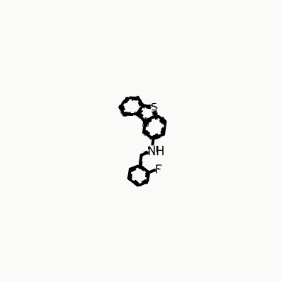 Fc1ccccc1CNc1ccc2sc3ccccc3c2c1